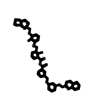 Cc1c(OCc2ccc3ccccc3n2)cccc1OCc1cccc(C(=O)OC(=O)c2cccc(COc3cccc(SCc4ccc5ccccc5n4)c3)c2)c1C